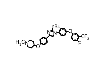 CCCCc1nc(-c2ccc(OC3CCN(C)CC3)cc2)cn1-c1ccc(Oc2ccc(F)c(C(F)(F)F)c2)cc1